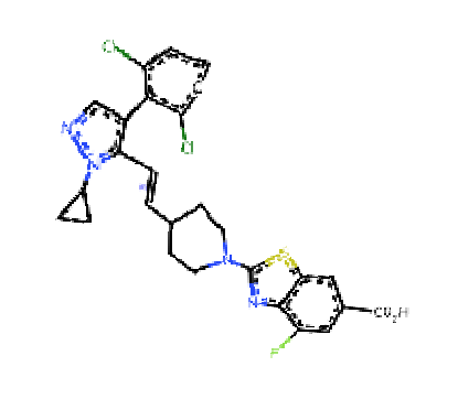 O=C(O)c1cc(F)c2nc(N3CCC(/C=C/c4c(-c5c(Cl)cccc5Cl)cnn4C4CC4)CC3)sc2c1